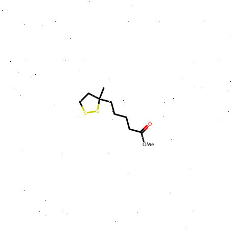 COC(=O)CCCCC1(C)CCSS1